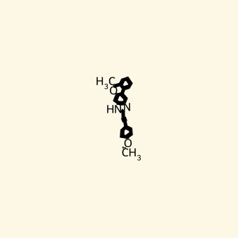 CCOc1ccc(C#Cc2nc3cc(-c4ccccc4C(C)=O)ccc3[nH]2)cc1